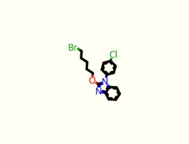 Clc1ccc(-n2c(OCCCCCBr)nc3ccccc32)cc1